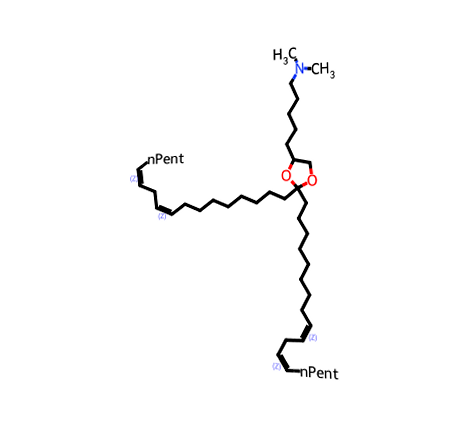 CCCCC/C=C\C/C=C\CCCCCCCCC1(CCCCCCCC/C=C\C/C=C\CCCCC)OCC(CCCCCN(C)C)O1